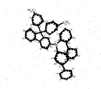 Cc1ccc(C2(c3ccc(C)cc3)c3ccccc3-c3ccc(N(c4ccc(-c5ccccc5)cc4)c4ccccc4-c4ccccc4)cc32)cc1